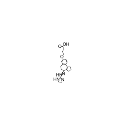 O=C(O)CCCOc1ccc2c(c1)CCC(=NNC1=NCCN1)C1=C2CCC1